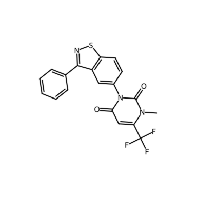 Cn1c(C(F)(F)F)cc(=O)n(-c2ccc3snc(-c4ccccc4)c3c2)c1=O